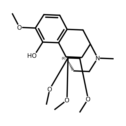 COc1ccc2c(c1O)[C@@]13CCN(C)C(C2)C1CC(OC)C(OC)(OC)C3